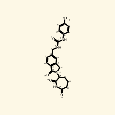 Cc1ccc(NC(=O)NCc2ccc3c(c2)CN(C2CCCC(=O)NC2=O)C3=O)cc1